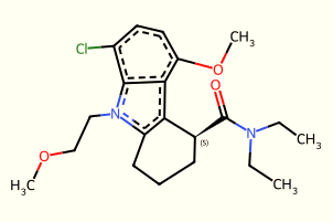 CCN(CC)C(=O)[C@H]1CCCc2c1c1c(OC)ccc(Cl)c1n2CCOC